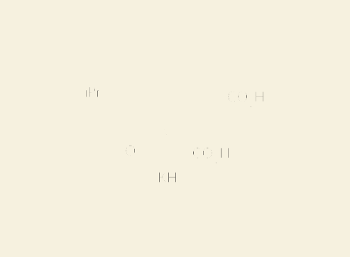 CC(C)CC(CC(=O)O)C(=O)C(=O)O.[KH]